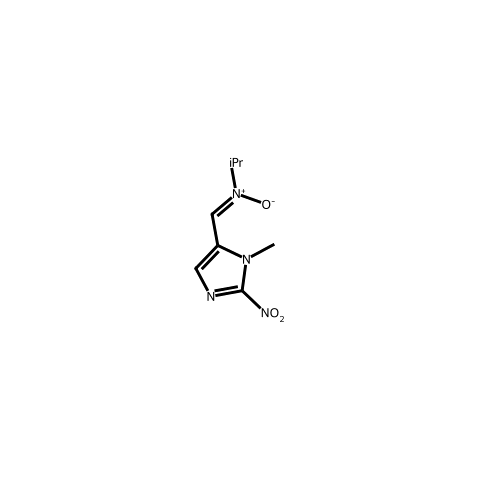 CC(C)[N+]([O-])=Cc1cnc([N+](=O)[O-])n1C